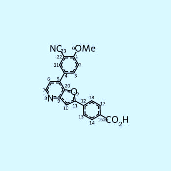 COc1ccc(-c2ccnc3cc(-c4ccc(C(=O)O)cc4)oc23)cc1C#N